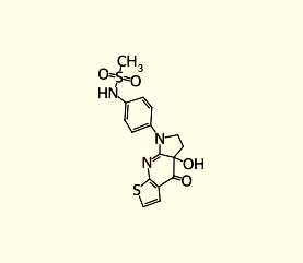 CS(=O)(=O)Nc1ccc(N2CCC3(O)C(=O)c4ccsc4N=C23)cc1